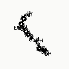 CCOc1ccc(-c2ccc(CNC(C)C)cc2)cc1S(=O)(=O)N1CCC2(CC1)C[C@@H](OC(=O)NCC(O)COc1cccc(S(=O)(=O)C3(CO)CC3)c1)CO2